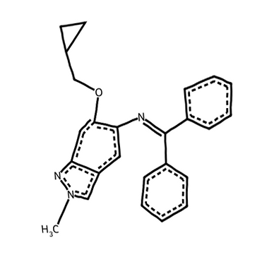 Cn1cc2cc(N=C(c3ccccc3)c3ccccc3)c(OCC3CC3)cc2n1